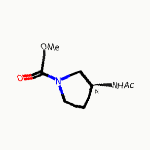 COC(=O)N1CC[C@H](NC(C)=O)C1